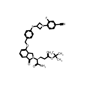 CC(C)(C)OC(=O)CC[C@@H](C(N)=O)N1CC2C(OCc3ccc(SC4CN(c5ccc(C#N)cc5F)C4)cc3)=CC=CC2C1=O